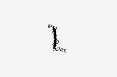 CCCCCCCCCCCCOC(=O)CCCOCCOCCOC(C)C